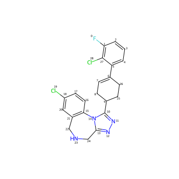 Fc1cccc(C2=CCC(c3nnc4n3-c3ccc(Cl)cc3CNC4)CC2)c1Cl